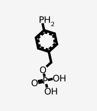 O=P(O)(O)OCc1ccc(P)cc1